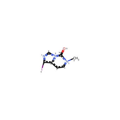 Cn1ccc2c(I)ncn2c1=O